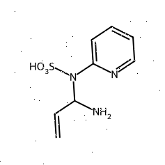 C=CC(N)N(c1ccccn1)S(=O)(=O)O